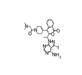 CC(c1oc(=O)c2ccccc2c1C1=CCN(C(=O)CN(C)C)CC1)n1nc(I)c2c(N)ncnc21